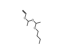 C=COC(C)OC(C)OCCCC